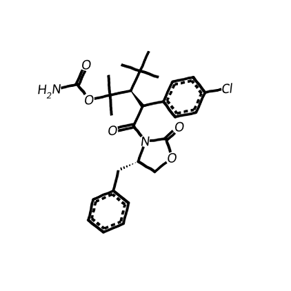 CC(C)(C)[C@@H](C(C(=O)N1C(=O)OC[C@@H]1Cc1ccccc1)c1ccc(Cl)cc1)C(C)(C)OC(N)=O